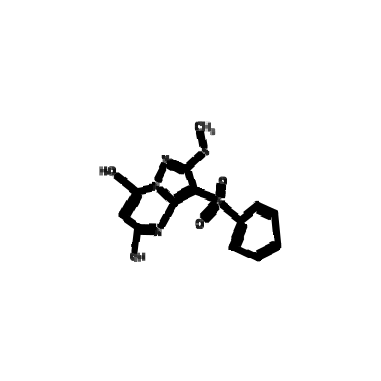 CSc1nn2c(O)cc(O)nc2c1S(=O)(=O)c1ccccc1